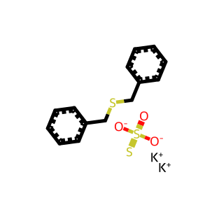 O=S([O-])([O-])=S.[K+].[K+].c1ccc(CSCc2ccccc2)cc1